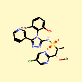 CCO[C@H](c1ncc(Cl)cn1)[C@H](C)S(=O)(=O)Nc1nnc(-c2c#ccnc2)n1-c1c(O)cccc1OC